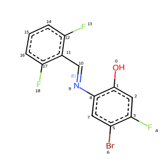 Oc1cc(F)c(Br)cc1/N=C/c1c(F)cccc1F